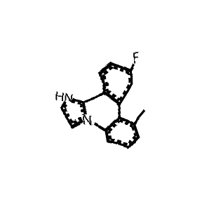 Cc1cccc(C)c1-c1cc(F)ccc1-c1ncc[nH]1